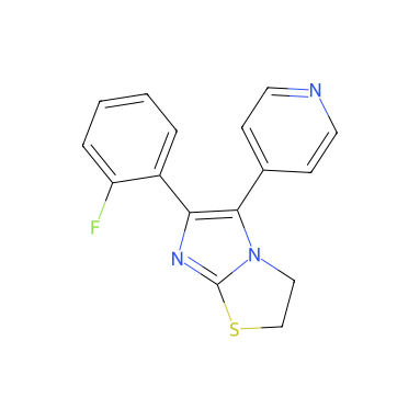 Fc1ccccc1-c1nc2n(c1-c1ccncc1)CCS2